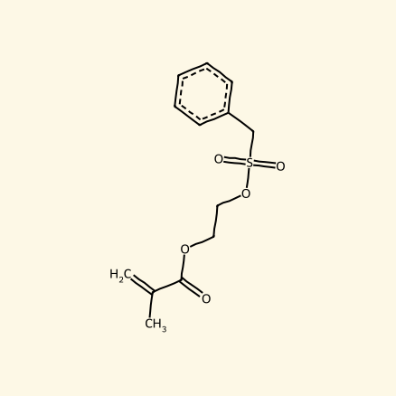 C=C(C)C(=O)OCCOS(=O)(=O)Cc1ccccc1